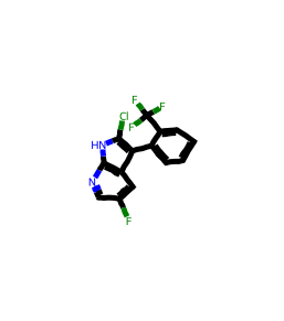 Fc1cnc2[nH]c(Cl)c(-c3ccccc3C(F)(F)F)c2c1